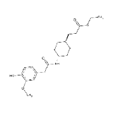 CCOC(=O)CC[C@H]1CC[C@H](NC(=O)Cc2ccc(O)c(OC)c2)CC1